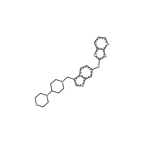 c1cnc2nc(Oc3ccc4c(CN5CCC(N6CCOCC6)CC5)coc4c3)sc2c1